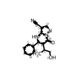 CC(CO)c1c(-c2ccccc2)[nH]c2c(C#N)cnn2c1=O